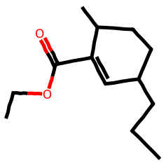 CCCC1C=C(C(=O)OCC)C(C)CC1